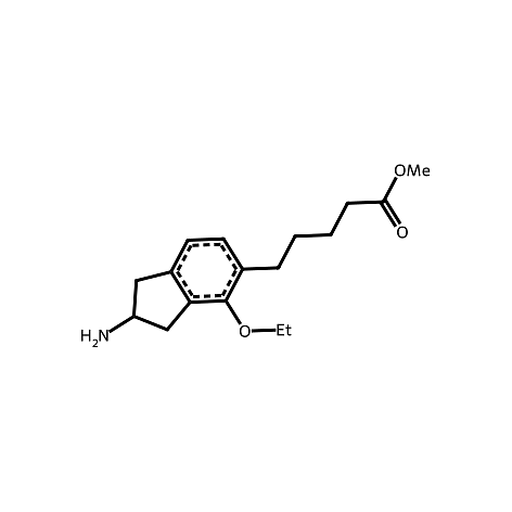 CCOc1c(CCCCC(=O)OC)ccc2c1CC(N)C2